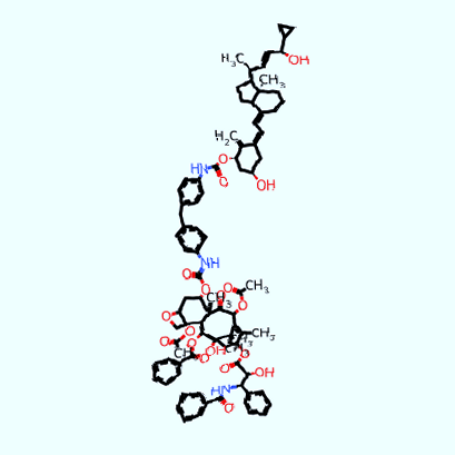 C=C1/C(=C\C=C2/CCC[C@@]3(C)C2CCC3[C@@H](C)/C=C/C(O)C2CC2)C[C@@H](O)C[C@@H]1OC(=O)Nc1ccc(Cc2ccc(NC(=O)OC3CC4OCC4(OC(C)=O)C4C(OC(=O)c5ccccc5)C5(O)CC(OC(=O)C(O)C(NC(=O)c6ccccc6)c6ccccc6)C(C)=C(C(OC(C)=O)C(=O)C34C)C5(C)C)cc2)cc1